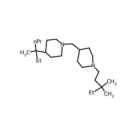 CCCC(C)(CC)C1CCN(CC2CCN(CCC(C)(C)CC)CC2)CC1